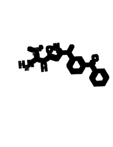 CC(c1cccc(C(=O)c2ccccc2)c1)c1cc(NC(N)=[N+](C)C)on1